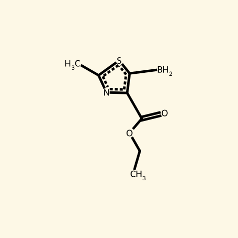 Bc1sc(C)nc1C(=O)OCC